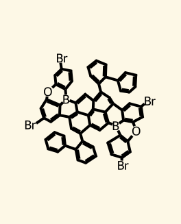 Brc1ccc2c(c1)Oc1cc(Br)cc3c1B2c1cc2c(-c4ccccc4-c4ccccc4)cc4c5c(cc6c(-c7ccccc7-c7ccccc7)cc-3c1c6c25)B1c2ccc(Br)cc2Oc2cc(Br)cc-4c21